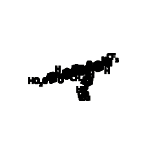 Cc1cc(C(=O)NC2CCN(C(=O)O)CC2)ccc1-c1ccc(C[C@H](NC(=O)[C@H]2CC[C@H](CNC(=O)OC(C)(C)C)CC2)C(=O)Nc2ccc(-c3nc(C(F)(F)F)n[nH]3)cc2)cc1